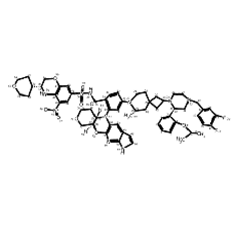 CC(C)Oc1ccccc1[C@@H]1CN(Cc2ccc(F)c(F)c2)CCN1C1CC2(CCN(c3ccc(C(=O)NS(=O)(=O)c4cc5c(c([N+](=O)[O-])c4)N[C@H](C4CCOCC4)CO5)c(N4c5cc6cc[nH]c6nc5O[C@H]5COCC[C@@H]54)c3)[C@@H](C)C2)C1